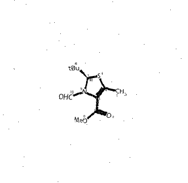 COC(=O)C1=C(C)S[C@H](C(C)(C)C)N1C=O